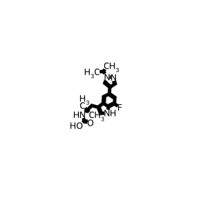 CC(C)n1cc(-c2cc(F)c3[nH]cc(CC(C)(C)NC(=O)O)c3c2)cn1